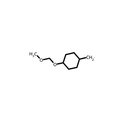 [CH2]C1CCC(OCOC)CC1